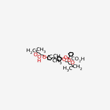 C=C(C)C(=O)CC(O)COc1ccc(C(C)(C)c2ccc(OCC(CC(=O)C(=C)C)OC(=O)c3ccccc3C(=O)O)cc2)cc1